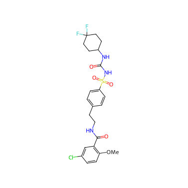 COc1ccc(Cl)cc1C(=O)NCCc1ccc(S(=O)(=O)NC(=O)NC2CCC(F)(F)CC2)cc1